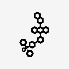 O=P(c1ccccc1)(c1ccccc1)c1ccc(-c2cccc(-c3c4ccccc4c(-c4ccc5ccccc5c4)c4ccccc34)c2)cc1